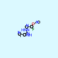 Cc1ccncc1-c1ccc2[nH]nc(-c3nc4c(-c5cc(F)cc(OCCN6CCCC6)c5)nccc4[nH]3)c2c1